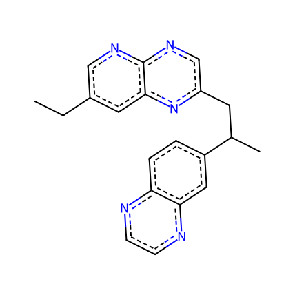 CCc1cnc2ncc(CC(C)c3ccc4nccnc4c3)nc2c1